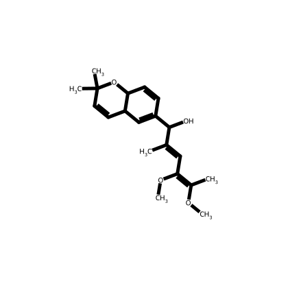 CO/C(C)=C(/C=C(\C)C(O)C1=CC2C=CC(C)(C)OC2C=C1)OC